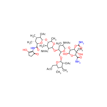 CC(=O)NC1[C@H](O[C@@H]2C(CO[C@@H]3OC(COC(C)=O)[C@@H](C)[C@H](C)C3OC(C)=O)O[C@@H](OC3[C@H](O)OC(C(N)=O)[C@@](C)(O)[C@@H]3OC(N)=O)C(NC(C)=O)[C@H]2OC(C)=O)OC(C)[C@@H](O[C@@H]2OC(C(=O)NC3=C(O)CCC3=O)[C@H](C)[C@H](C)C2OC(C)=O)[C@@H]1C